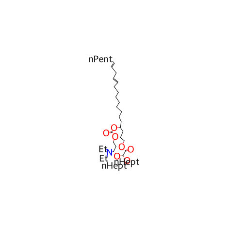 CCCCCC=CCC=CCCCCCCCCC(CCCOC(=O)C(OCCCCCCC)OCCCCCCC)OC(=O)OCCCN(CC)CC